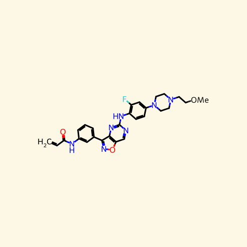 C=CC(=O)Nc1cccc(-c2noc3cnc(Nc4ccc(N5CCN(CCOC)CC5)cc4F)nc23)c1